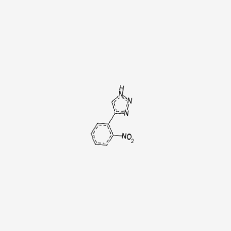 O=[N+]([O-])c1ccccc1-c1c[nH]nn1